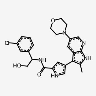 Cc1[nH]c2ncc(N3CCOCC3)cc2c1-c1c[nH]c(C(=O)NC(CO)c2cccc(Cl)c2)c1